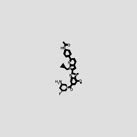 COc1cc(C(=O)N2C[C@H](N)C[C@@H](F)C2)cc2nc(-c3cc4ccc(-c5ccc(NC(C)=O)cc5)nc4n3CC3CC3)n(C)c12